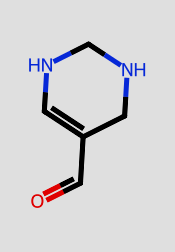 O=CC1=CNCNC1